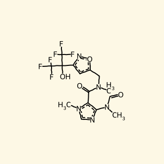 CN(Cc1cc(C(O)(C(F)(F)F)C(F)(F)F)no1)C(=O)c1c(N(C)C=O)ncn1C